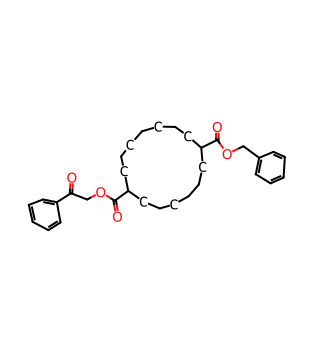 O=C(COC(=O)C1CCCCCCCC(C(=O)OCc2ccccc2)CCCCCC1)c1ccccc1